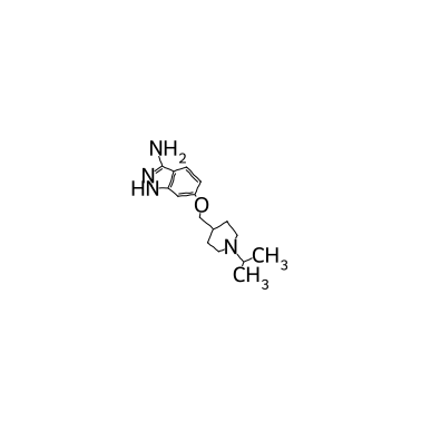 CC(C)N1CCC(COc2ccc3c(N)n[nH]c3c2)CC1